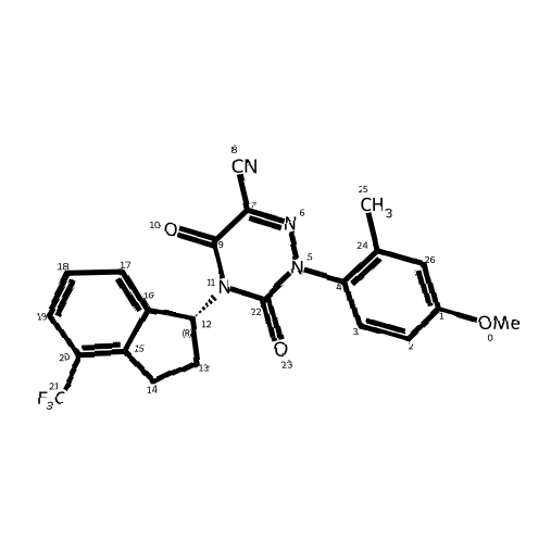 COc1ccc(-n2nc(C#N)c(=O)n([C@@H]3CCc4c3cccc4C(F)(F)F)c2=O)c(C)c1